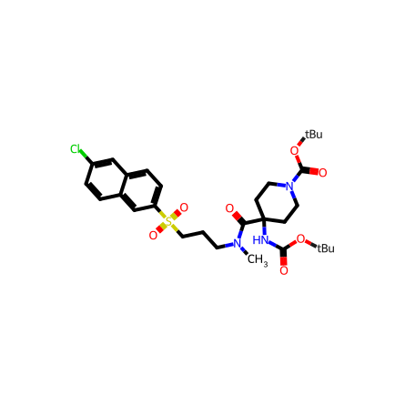 CN(CCCS(=O)(=O)c1ccc2cc(Cl)ccc2c1)C(=O)C1(NC(=O)OC(C)(C)C)CCN(C(=O)OC(C)(C)C)CC1